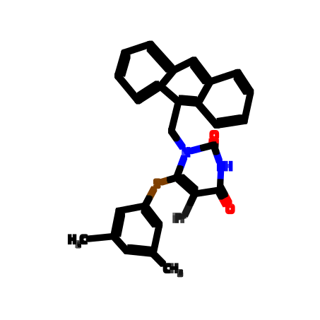 Cc1cc(C)cc(Sc2c(C(C)C)c(=O)[nH]c(=O)n2Cc2c3ccccc3cc3ccccc23)c1